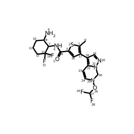 Cc1sc(C(=O)NC2C(N)CCCC2(F)F)cc1-c1cnn2c1C=CN(OC(F)F)C2